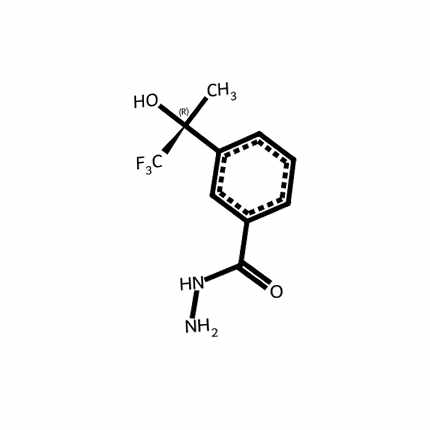 C[C@@](O)(c1cccc(C(=O)NN)c1)C(F)(F)F